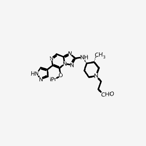 CC(C)Oc1c(-c2cn[nH]c2)ncc2nc(N[C@H]3CCN(CCC=O)C[C@H]3C)nn12